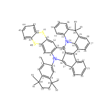 Cc1cc2c(cc1N1c3cc4c(cc3B3c5c1cc1ccccc1c5-c1cccc5c1N3c1ccccc1C5(C)C)Sc1ccccc1S4)C(C)(C)CCC2(C)C